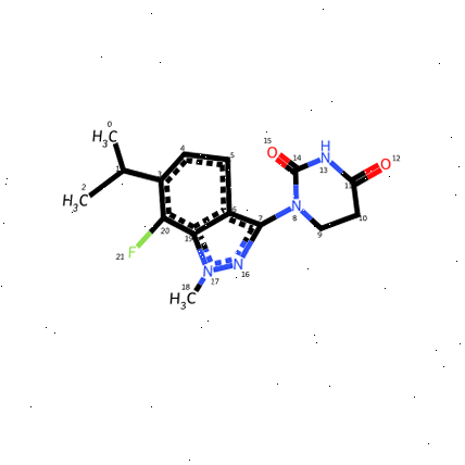 CC(C)c1ccc2c(N3CCC(=O)NC3=O)nn(C)c2c1F